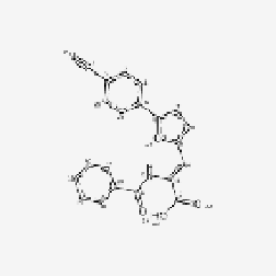 N#Cc1ccc(-c2ccc(C=C(NC(=O)c3ccccc3)C(=O)O)o2)cc1